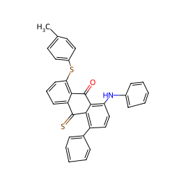 Cc1ccc(Sc2cccc3c2C(=O)c2c(Nc4ccccc4)ccc(-c4ccccc4)c2C3=S)cc1